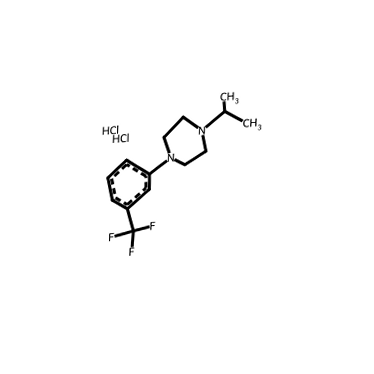 CC(C)N1CCN(c2cccc(C(F)(F)F)c2)CC1.Cl.Cl